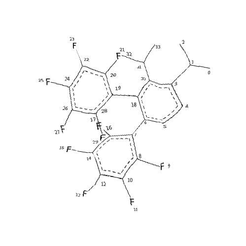 CC(C)c1ccc(-c2c(F)c(F)c(F)c(F)c2F)c(-c2c(F)c(F)c(F)c(F)c2F)c1C(C)C